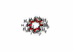 CC(C)(C)c1cc2cc(c1)Cc1cc(cc(C(C)(C)C)c1)Cc1cc(cc(C(C)(C)C)c1)Cc1cc(cc(C(C)(C)C)c1)Cc1cc(cc(C(C)(C)C)c1)Cc1cc(cc(C(C)(C)C)c1)Cc1cc(cc(C(C)(C)C)c1)Cc1cc(cc(C(C)(C)C)c1)C2